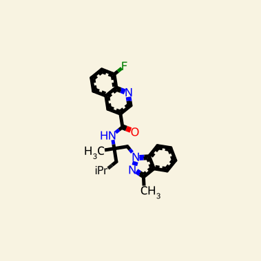 Cc1nn(CC(C)(CC(C)C)NC(=O)c2cnc3c(F)cccc3c2)c2ccccc12